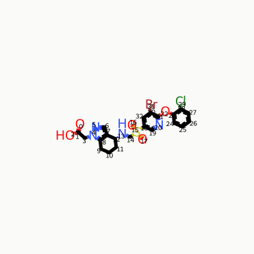 O=C(O)Cn1ncc2c1CCC[C@H]2NCS(=O)(=O)c1cnc(Oc2ccccc2Cl)c(Br)c1